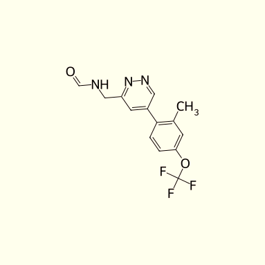 Cc1cc(OC(F)(F)F)ccc1-c1cnnc(CNC=O)c1